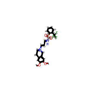 COc1cc2c(cc1OC)CN(CCCNS(=O)(=O)c1ccccc1C(F)(F)F)CC2